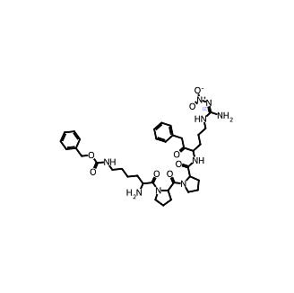 N/C(=N/[N+](=O)[O-])NCCCC(NC(=O)C1CCCN1C(=O)C1CCCN1C(=O)C(N)CCCCNC(=O)OCc1ccccc1)C(=O)Cc1ccccc1